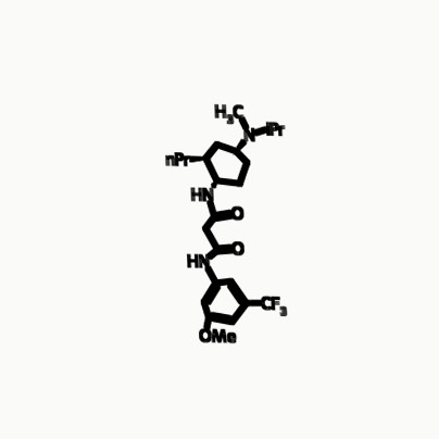 CCC[C@H]1C[C@@H](N(C)C(C)C)CC[C@@H]1NC(=O)CC(=O)Nc1cc(OC)cc(C(F)(F)F)c1